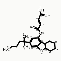 CCCCC(C)(C)c1cc(OC(=O)C=CC(=O)O)c2c(c1)OC1CCCCC21